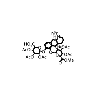 CCCN1CCC[C@@H]2Cc3c(ccc(O[C@@H]4O[C@H](C(=O)O)[C@@H](OC(C)=O)[C@H](OC(C)=O)[C@H]4OC(C)=O)c3O[C@@H]3O[C@H](C(=O)OC)[C@@H](OC(C)=O)[C@H](OC(C)=O)[C@H]3OC(C)=O)C[C@H]21